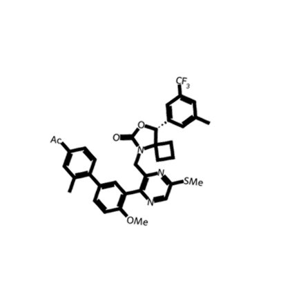 COc1ccc(-c2ccc(C(C)=O)cc2C)cc1-c1ncc(SC)nc1CN1C(=O)O[C@H](c2cc(C)cc(C(F)(F)F)c2)C12CCC2